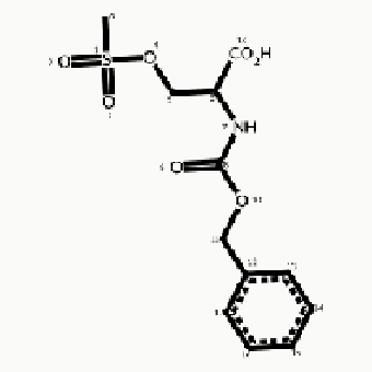 CS(=O)(=O)OCC(NC(=O)OCc1ccccc1)C(=O)O